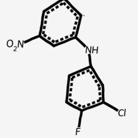 O=[N+]([O-])c1cc[c]c(Nc2ccc(F)c(Cl)c2)c1